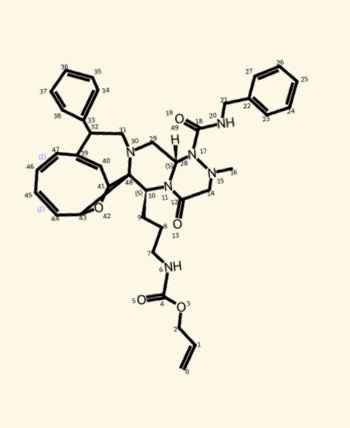 C=CCOC(=O)NCCC[C@@H]1N2C(=O)CN(C)N(C(=O)NCc3ccccc3)[C@H]2CN2CC(c3ccccc3)C3=CC4OC(/C=C\C=C/3)C412